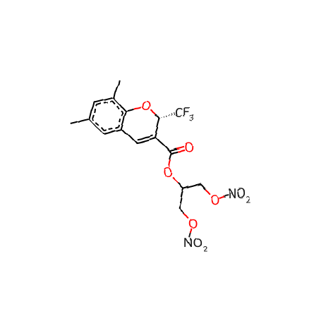 Cc1cc(C)c2c(c1)C=C(C(=O)OC(CO[N+](=O)[O-])CO[N+](=O)[O-])[C@@H](C(F)(F)F)O2